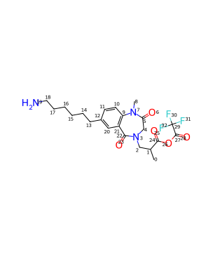 CC(CN1CC(=O)N(C)c2ccc(CCCCCCN)cc2C1=O)C(=O)OC(=O)C(F)(F)F